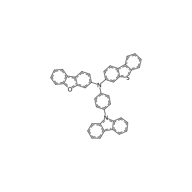 c1ccc2c(c1)oc1cc(N(c3ccc(-n4c5ccccc5c5ccccc54)cc3)c3ccc4c(c3)sc3ccccc34)ccc12